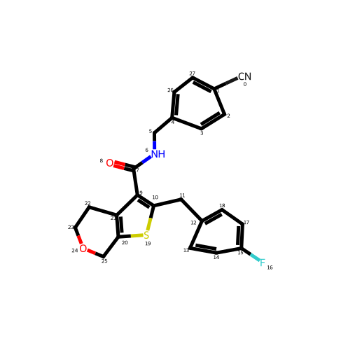 N#Cc1ccc(CNC(=O)c2c(Cc3ccc(F)cc3)sc3c2CCOC3)cc1